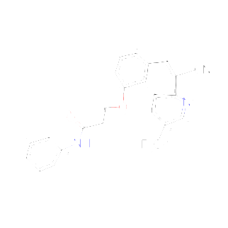 N#CC(=Cc1cccc(OCCC(=O)Nc2ccccc2)c1)c1ccc(C(F)(F)F)cn1